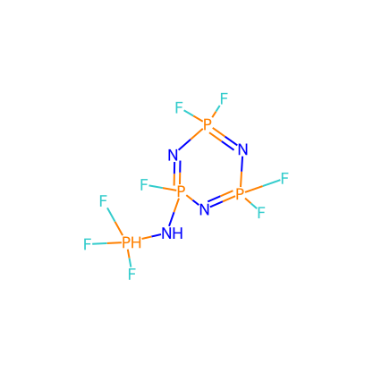 FP1(F)=NP(F)(F)=NP(F)(N[PH](F)(F)F)=N1